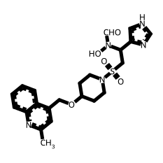 Cc1cc(COC2CCN(S(=O)(=O)CC(c3c[nH]cn3)N(O)C=O)CC2)c2ccccc2n1